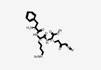 CC(=O)NCCCC[C@H](NC(=O)[C@@H](N)Cc1ccccc1)C(=O)N[C@@H](CCC(=O)C=[N+]=[N-])C(=O)OC(C)C